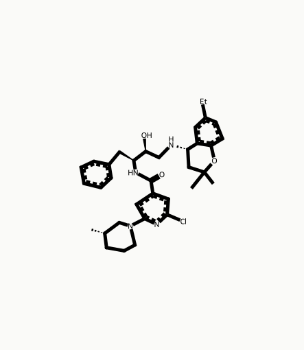 CCc1ccc2c(c1)[C@@H](NC[C@H](O)[C@H](Cc1ccccc1)NC(=O)c1cc(Cl)nc(N3CCC[C@H](C)C3)c1)CC(C)(C)O2